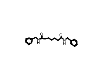 O=C(C[CH]CCCC(=O)NCc1ccccc1)NCc1ccccc1